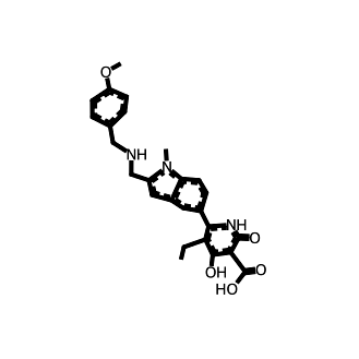 CCc1c(-c2ccc3c(c2)cc(CNCc2ccc(OC)cc2)n3C)[nH]c(=O)c(C(=O)O)c1O